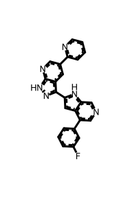 Fc1cccc(-c2cncc3[nH]c(-c4n[nH]c5ncc(-c6ccccn6)cc45)cc23)c1